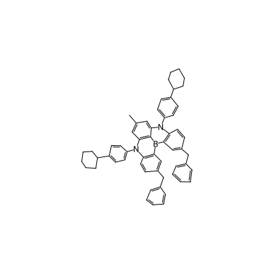 Cc1cc2c3c(c1)N(c1ccc(C4CCCCC4)cc1)c1ccc(Cc4ccccc4)cc1B3c1cc(Cc3ccccc3)ccc1N2c1ccc(C2CCCCC2)cc1